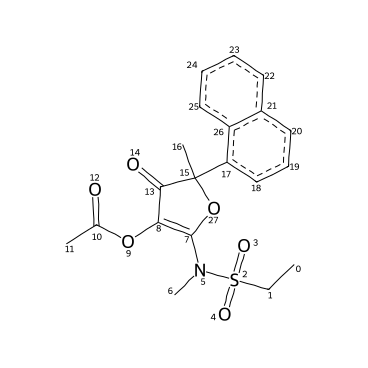 CCS(=O)(=O)N(C)C1=C(OC(C)=O)C(=O)C(C)(c2cccc3ccccc23)O1